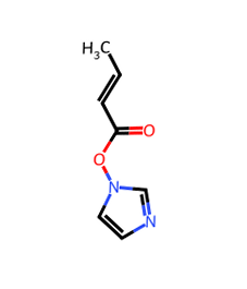 CC=CC(=O)On1ccnc1